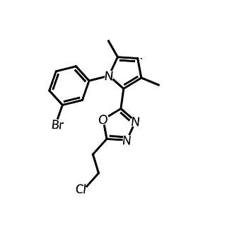 Cc1[c]c(C)n(-c2cccc(Br)c2)c1-c1nnc(CCCl)o1